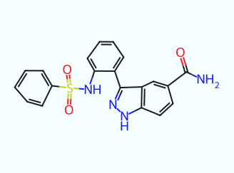 NC(=O)c1ccc2[nH]nc(-c3ccccc3NS(=O)(=O)c3ccccc3)c2c1